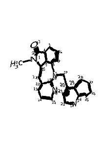 CN1C(=O)c2cccc3c2C1=Cc1cccnc1N3Cc1ccnc2ccccc12